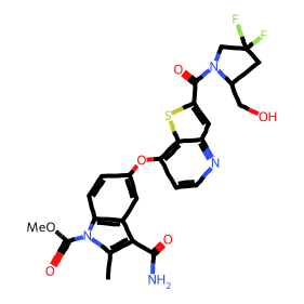 COC(=O)n1c(C)c(C(N)=O)c2cc(Oc3ccnc4cc(C(=O)N5CC(F)(F)CC5CO)sc34)ccc21